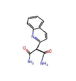 NC(=O)C(C(N)=O)c1ccc2ccccc2n1